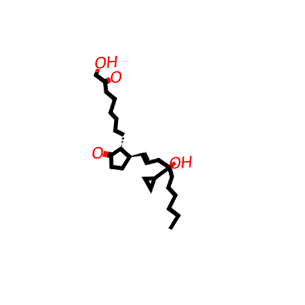 CCCCCCC(O)(C/C=C/[C@H]1CCC(=O)[C@@H]1CCCCCCC(=O)CO)C1CC1